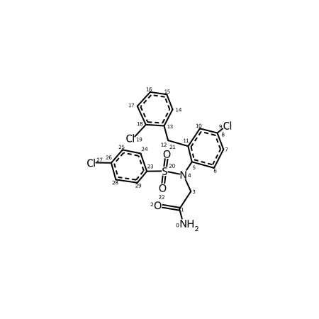 NC(=O)CN(c1ccc(Cl)cc1Cc1ccccc1Cl)S(=O)(=O)c1ccc(Cl)cc1